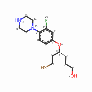 OCCC[C@H](CCS)Oc1ccc(N2CCNCC2)c(F)c1